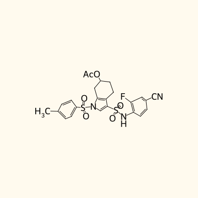 CC(=O)OC1CCc2c(S(=O)(=O)Nc3ccc(C#N)cc3F)cn(S(=O)(=O)c3ccc(C)cc3)c2C1